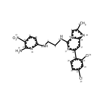 Cc1cn2c(NCCNc3ccc([N+](=O)[O-])c(N)n3)nc(-c3ccc(Cl)cc3Cl)cc2n1